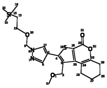 COCc1c(-c2cnn(COCC[Si](C)(C)C)c2)sc2c(=O)oc3c(c12)CCCC3